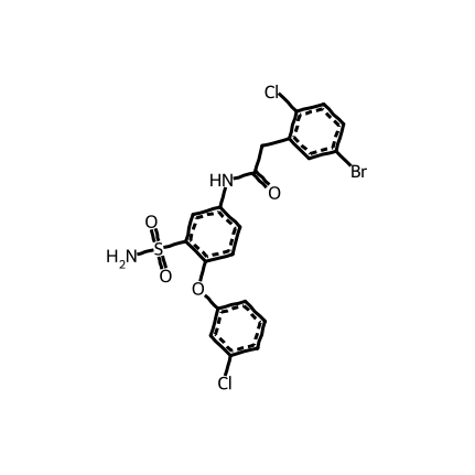 NS(=O)(=O)c1cc(NC(=O)Cc2cc(Br)ccc2Cl)ccc1Oc1cccc(Cl)c1